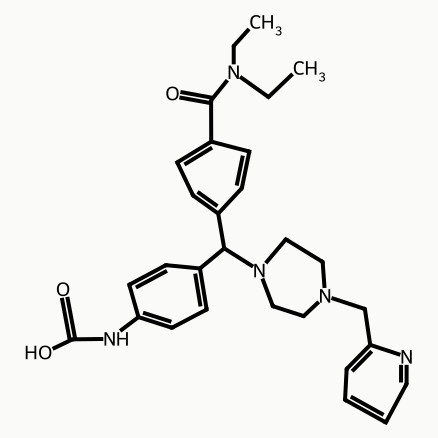 CCN(CC)C(=O)c1ccc(C(c2ccc(NC(=O)O)cc2)N2CCN(Cc3ccccn3)CC2)cc1